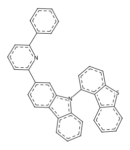 c1ccc(-c2cccc(-c3ccc4c5ccccc5n(-c5cccc6sc7ccccc7c56)c4c3)n2)cc1